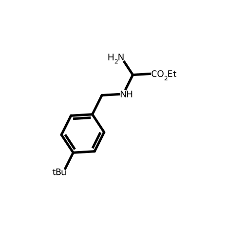 CCOC(=O)C(N)NCc1ccc(C(C)(C)C)cc1